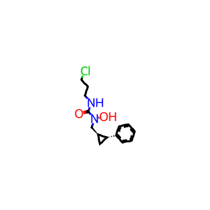 O=C(NCCCCl)N(O)C[C@@H]1C[C@H]1c1ccccc1